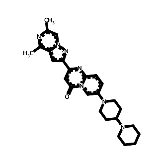 Cc1cn2nc(-c3cc(=O)n4cc(N5CCC(N6CCCCC6)CC5)ccc4n3)cc2c(C)n1